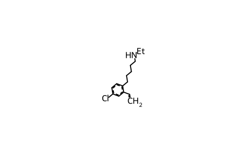 C=Cc1cc(Cl)ccc1CCCCCNCC